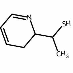 CC(S)C1CC=CC=N1